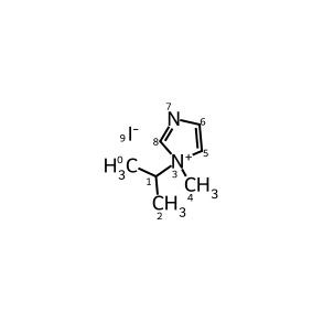 CC(C)[N+]1(C)C=CN=C1.[I-]